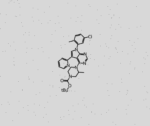 Cc1ccc(Cl)cc1-n1cc(-c2ccccn2)c2c(N3CCN(C(=O)OC(C)(C)C)CC3C)ncnc21